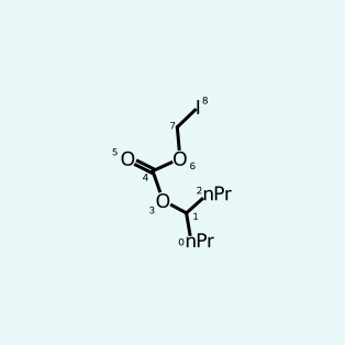 CCCC(CCC)OC(=O)OCI